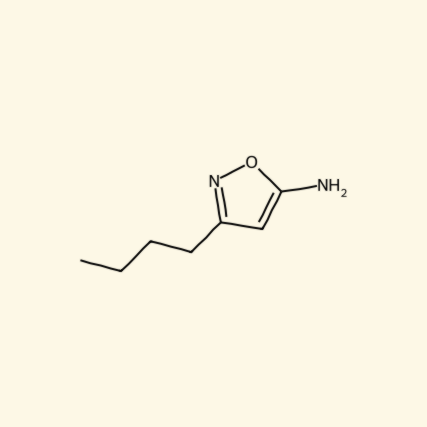 CCCCc1cc(N)on1